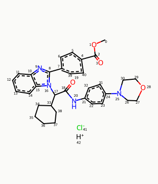 COC(=O)c1ccc(-c2nc3ccccc3n2C(C(=O)Nc2ccc(N3CCOCC3)cc2)C2CCCCC2)cc1.[Cl-].[H+]